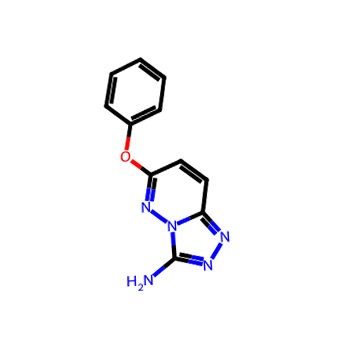 Nc1nnc2ccc(Oc3ccccc3)nn12